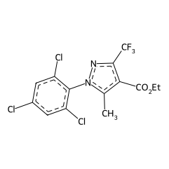 CCOC(=O)c1c(C(F)(F)F)nn(-c2c(Cl)cc(Cl)cc2Cl)c1C